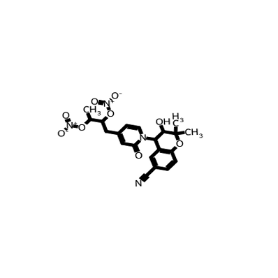 CC(O[N+](=O)[O-])C(Cc1ccn(C2c3cc(C#N)ccc3OC(C)(C)C2O)c(=O)c1)O[N+](=O)[O-]